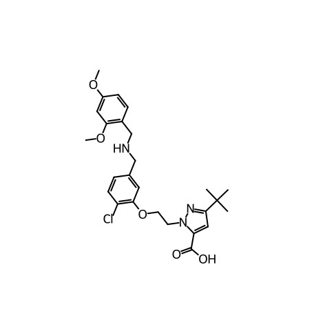 COc1ccc(CNCc2ccc(Cl)c(OCCn3nc(C(C)(C)C)cc3C(=O)O)c2)c(OC)c1